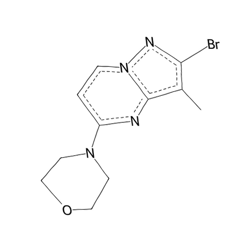 Cc1c(Br)nn2ccc(N3CCOCC3)nc12